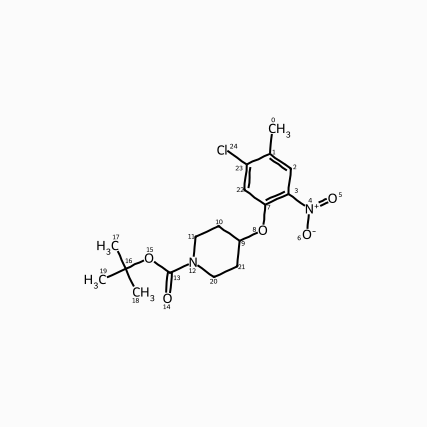 Cc1cc([N+](=O)[O-])c(OC2CCN(C(=O)OC(C)(C)C)CC2)cc1Cl